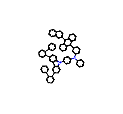 c1ccc(-c2ccccc2-c2ccc3c(c2)c2cc(-c4ccccc4-c4ccccc4)ccc2n3-c2ccc(N(c3ccccc3)c3cccc(-c4c5ccccc5c(-c5ccc6ccccc6c5)c5ccccc45)c3)cc2)cc1